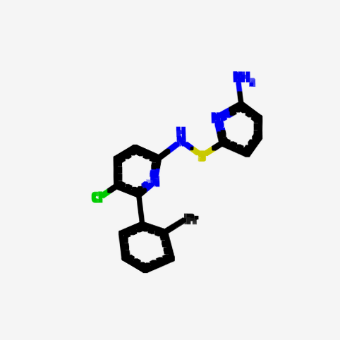 CC(C)c1ccccc1-c1nc(NSc2cccc(N)n2)ccc1Cl